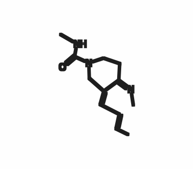 C/C=C/C=C1/CN(C(=O)NC)CC/C1=N/C